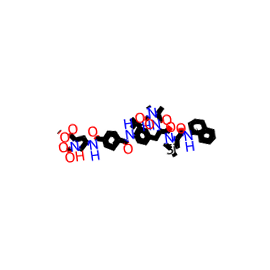 COC(=O)C1CC(NC(=O)c2ccc(C(=O)Nc3ccc(CC(NC(=O)C(C)N(C)C(=O)OC(C)(C)C)C(=O)N4C[Si](C)(C)CC4C(=O)N[C@@H]4CCCc5ccccc54)cc3)cc2)CN1C(=O)O